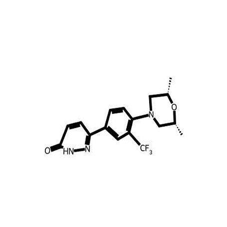 C[C@@H]1CN(c2ccc(-c3ccc(=O)[nH]n3)cc2C(F)(F)F)C[C@H](C)O1